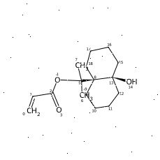 C=CC(=O)OC(C)(C)[C@]12CCCC[C@@]1(O)CCCC2